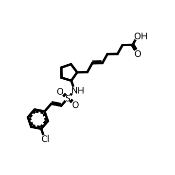 O=C(O)CCCC=CCC1CCCC1NS(=O)(=O)C=Cc1cccc(Cl)c1